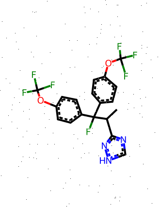 CC(c1nc[nH]n1)C(F)(c1ccc(OC(F)(F)F)cc1)c1ccc(OC(F)(F)F)cc1